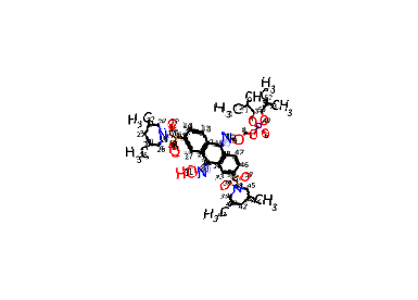 CC(C)COP(=O)(OCO/N=C1/c2ccc(S(=O)(=O)N3CC(C)C[C@@H](C)C3)cc2/C(=N\O)c2cc(S(=O)(=O)N3C[C@H](C)C[C@H](C)C3)ccc21)OCC(C)C